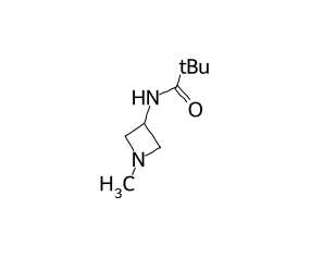 CN1CC(NC(=O)C(C)(C)C)C1